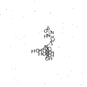 Cc1ccc(SCCCN(CCCCO)C(=O)[C@@H](O)[C@@H](O)[C@H](O)[C@@H](O)CO)cc1CNC1(c2cnccc2-c2ccccc2OC2CC2)CC1